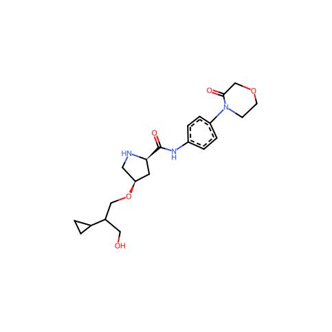 O=C(Nc1ccc(N2CCOCC2=O)cc1)[C@H]1C[C@@H](OCC(CO)C2CC2)CN1